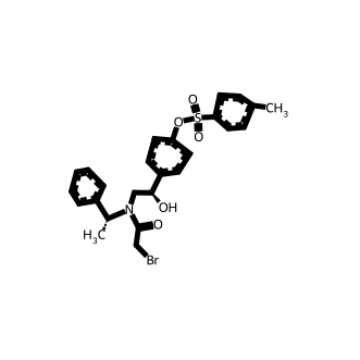 Cc1ccc(S(=O)(=O)Oc2ccc([C@@H](O)CN(C(=O)CBr)[C@H](C)c3ccccc3)cc2)cc1